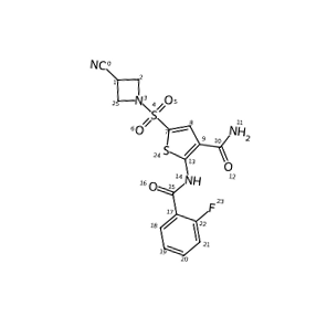 N#CC1CN(S(=O)(=O)c2cc(C(N)=O)c(NC(=O)c3ccccc3F)s2)C1